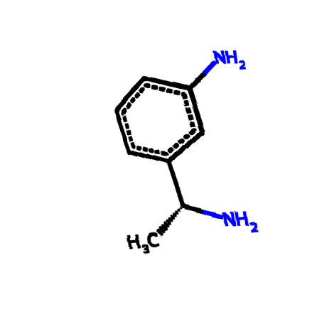 C[C@@H](N)c1cccc(N)c1